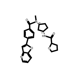 CN(C(=O)c1ccc(-c2cc3ncccc3o2)cc1)[C@@H]1CC[C@H](NC(=O)C2CCCO2)C1